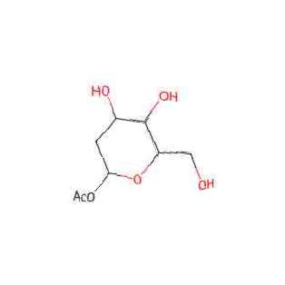 CC(=O)OC1CC(O)C(O)C(CO)O1